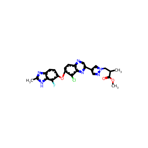 COC(=O)C(C)Cn1cc(-c2cnc3ccc(Oc4ccc5nc(C)[nH]c5c4F)c(Cl)c3n2)cn1